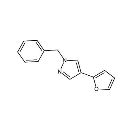 c1ccc(Cn2cc(-c3ccco3)cn2)cc1